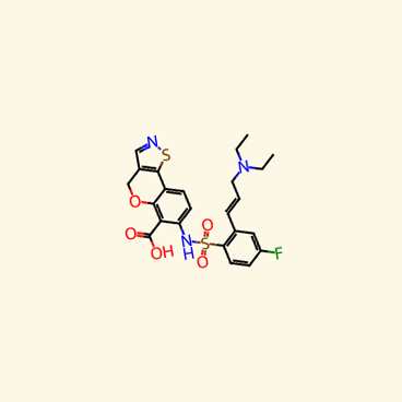 CCN(CC)CC=Cc1cc(F)ccc1S(=O)(=O)Nc1ccc2c(c1C(=O)O)OCc1cnsc1-2